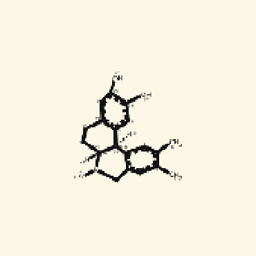 CCCN1Cc2cc(C)c(C)cc2[C@@H]2c3cc(O)c(O)cc3CC[C@H]21